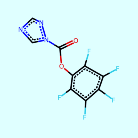 O=C(Oc1c(F)c(F)c(F)c(F)c1F)n1cncn1